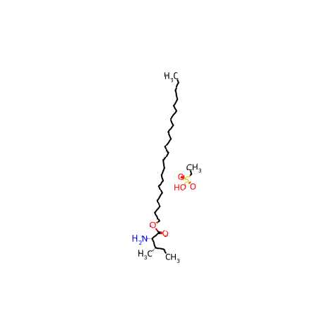 CCCCCCCCCCCCCCCCCCCCCCOC(=O)[C@@H](N)[C@@H](C)CC.CCS(=O)(=O)O